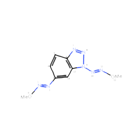 CON=Nc1ccc2nnn(N=NOC)c2c1